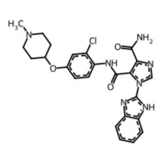 CN1CCC(Oc2ccc(NC(=O)c3c(C(N)=O)ncn3-c3nc4ccccc4[nH]3)c(Cl)c2)CC1